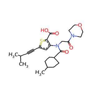 CC(C)C#Cc1cc(N(CC(=O)N2CCOCC2)C(=O)C2CCC(C)CC2)c(C(=O)O)s1